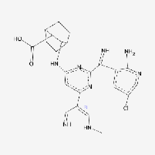 CN/C=C(\C=N)c1cc(NC2C3CCC(CC3)C2C(=O)O)nc(C(=N)c2cc(Cl)cnc2N)n1